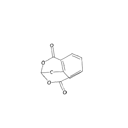 O=C1OC2Cc3cc1ccc3C(=O)O2